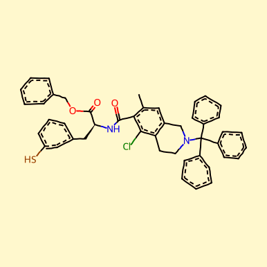 Cc1cc2c(c(Cl)c1C(=O)N[C@@H](Cc1cccc(S)c1)C(=O)OCc1ccccc1)CCN(C(c1ccccc1)(c1ccccc1)c1ccccc1)C2